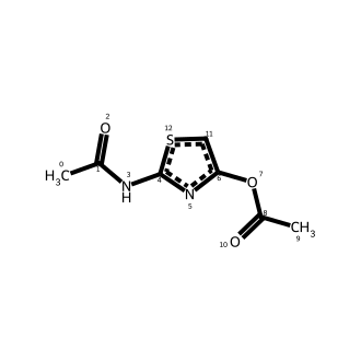 CC(=O)Nc1nc(OC(C)=O)cs1